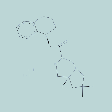 CC1(O)C[C@@H]2CNC(C(=O)N[C@@H]3CCOc4ccccc43)CN2C1.Cl.Cl